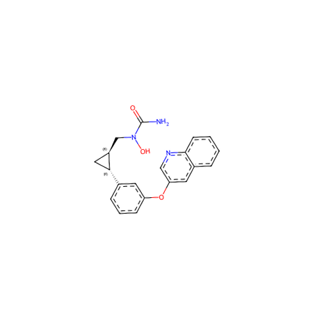 NC(=O)N(O)C[C@@H]1C[C@H]1c1cccc(Oc2cnc3ccccc3c2)c1